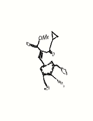 COC(=O)C(=Cc1cc(Cl)c(N)c(Cl)c1)C(=O)C1CC1